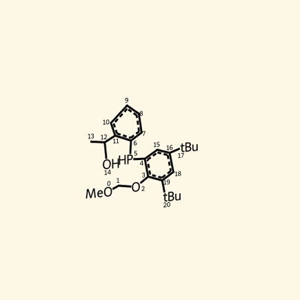 COCOc1c(Pc2ccccc2C(C)O)cc(C(C)(C)C)cc1C(C)(C)C